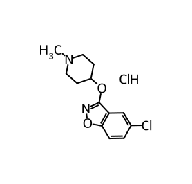 CN1CCC(Oc2noc3ccc(Cl)cc23)CC1.Cl